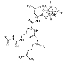 CC(C)=CCC[C@H](C)CC(=O)N[C@@H](CCCNC(=N)N[N+](=O)[O-])C(=O)N[C@@H](CC(C)C)B1O[C@@H]2C[C@@H]3C[C@@H](C3(C)C)[C@]2(C)O1